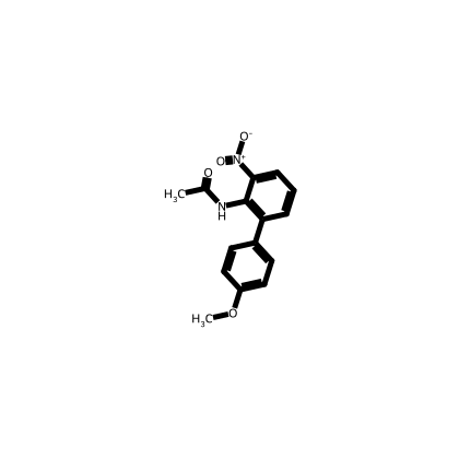 COc1ccc(-c2cccc([N+](=O)[O-])c2NC(C)=O)cc1